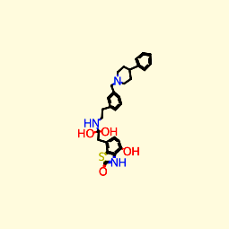 O=c1[nH]c2c(O)ccc(CC(O)(O)NCCc3cccc(CN4CCC(c5ccccc5)CC4)c3)c2s1